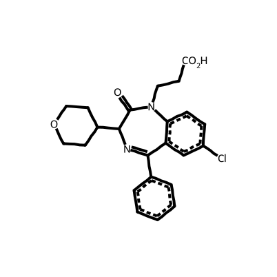 O=C(O)CCN1C(=O)C(C2CCOCC2)N=C(c2ccccc2)c2cc(Cl)ccc21